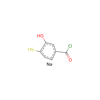 O=C(Cl)c1ccc(S)c(O)c1.[Na]